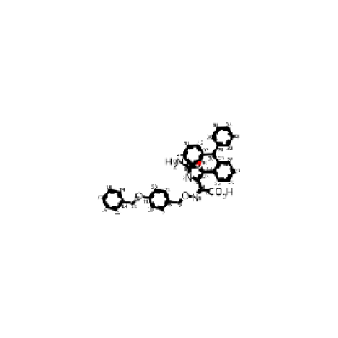 Nc1nc(C(=NOCc2ccc(OCc3ccccc3)cc2)C(=O)O)c(-c2ccccc2C(c2ccccc2)c2ccccc2)s1